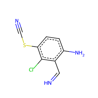 N#CSc1ccc(N)c(C=N)c1Cl